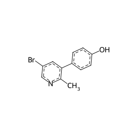 Cc1ncc(Br)cc1-c1ccc(O)cc1